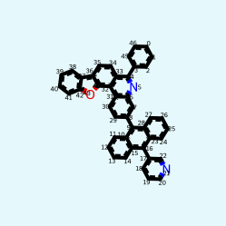 c1ccc(-c2nc3cc(-c4c5ccccc5c(-c5cccnc5)c5ccccc45)ccc3c3c2ccc2c4ccccc4oc23)cc1